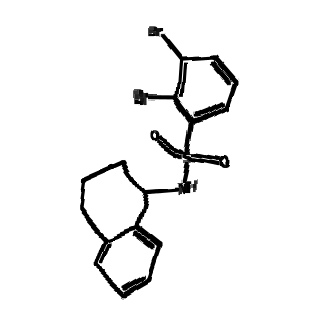 O=S(=O)(NC1CCCc2ccccc21)c1cccc(Br)c1Br